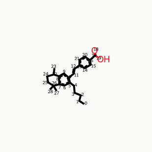 CCCCCc1cc2c(cc1/C=C/c1ccc(C(=O)O)cc1)C(C)CCC2(C)C